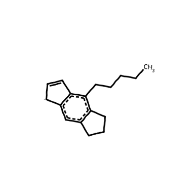 CCCCCc1c2c(cc3c1CCC3)[CH]C=C2